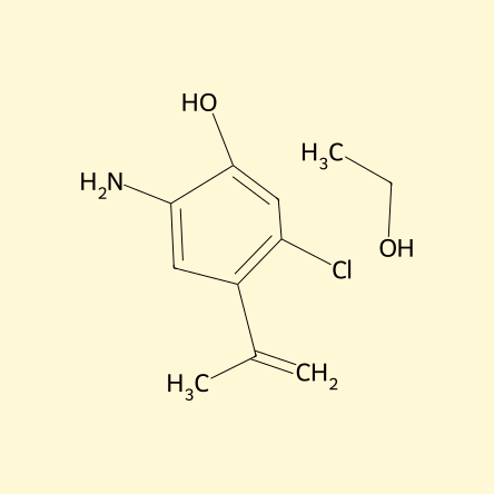 C=C(C)c1cc(N)c(O)cc1Cl.CCO